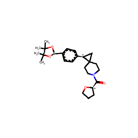 CC1(C)OB(c2ccc([C@H]3CC34CCN(C(=O)[C@H]3CCCO3)CC4)cc2)OC1(C)C